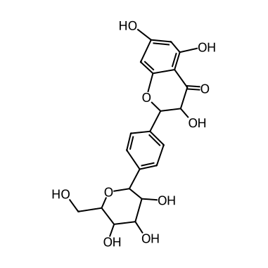 O=C1c2c(O)cc(O)cc2OC(c2ccc(C3OC(CO)C(O)C(O)C3O)cc2)C1O